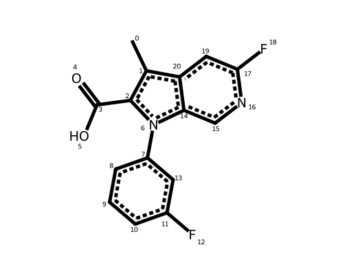 Cc1c(C(=O)O)n(-c2cccc(F)c2)c2cnc(F)cc12